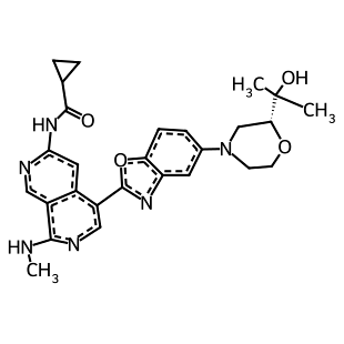 CNc1ncc(-c2nc3cc(N4CCO[C@@H](C(C)(C)O)C4)ccc3o2)c2cc(NC(=O)C3CC3)ncc12